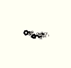 [2H]C([2H])(CC(O)c1cccc(S(=O)(=O)CC2CCCCC2)c1)NC(=O)C(F)(F)F